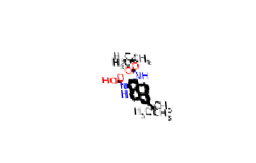 CC(C)(C)OC(=O)Nc1cc(NC(=O)O)c2ccc3cc(C(C)(C)C)cc4ccc1c2c34